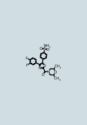 CC1CN(C(=O)c2nc(-c3ccc(F)c(F)c3)c(-c3ccc(S(N)(=O)=O)cc3)s2)CC(C)O1